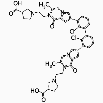 Cc1cn2cc(-c3cccc(-c4cccc(-c5cc6c(=O)n(CCN7CCC(C(=O)O)C7)c(C)cn6c5)c4Cl)c3Cl)cc2c(=O)n1CCN1CCC(C(=O)O)C1